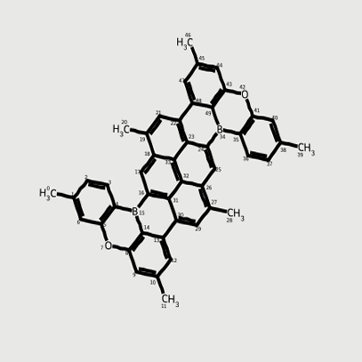 Cc1ccc2c(c1)Oc1cc(C)cc3c1B2c1cc2c(C)cc4c5c(cc6c(C)cc-3c1c6c25)B1c2ccc(C)cc2Oc2cc(C)cc-4c21